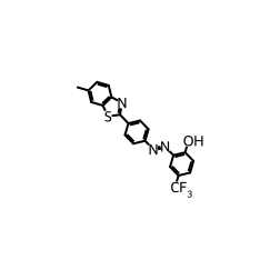 Cc1ccc2nc(-c3ccc(/N=N/c4cc(C(F)(F)F)ccc4O)cc3)sc2c1